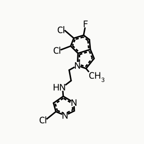 Cc1cc2cc(F)c(Cl)c(Cl)c2n1CCNc1cc(Cl)ncn1